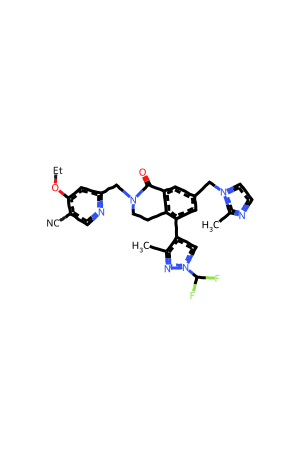 CCOc1cc(CN2CCc3c(cc(Cn4ccnc4C)cc3-c3cn(C(F)F)nc3C)C2=O)ncc1C#N